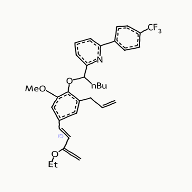 C=CCc1cc(/C=C/C(=C)OCC)cc(OC)c1OC(CCCC)c1cccc(-c2ccc(C(F)(F)F)cc2)n1